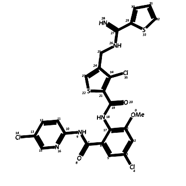 COc1cc(Cl)cc(C(=O)Nc2ccc(Cl)cn2)c1NC(=O)c1scc(CNC(=N)c2cccs2)c1Cl